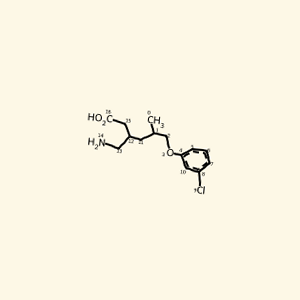 CC(COc1cccc(Cl)c1)CC(CN)CC(=O)O